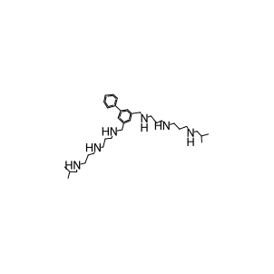 CC(C)CNCCCNCCCNCc1cc(CNCCCNCCCNCC(C)C)cc(-c2ccccc2)c1